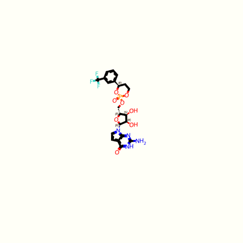 Nc1nc2c(ccn2[C@@H]2O[C@H](COP3(=O)OCC[C@H](c4cccc(C(F)(F)F)c4)O3)[C@@H](O)[C@H]2O)c(=O)[nH]1